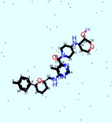 Cc1ccc([C@@H]2CCC[C@H](CNc3ncnc(C(=O)N4CCC(N[C@@H]5CCOC[C@@H]5OI)CC4)c3C)O2)cc1